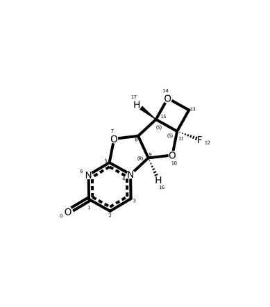 O=c1ccn2c(n1)OC1[C@H]2O[C@]2(F)CO[C@@H]12